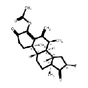 C=C1C2=C(OC(C)=O)C(=O)CC[C@]2(C)[C@H]2CC[C@]3(C)C(=O)[C@H](F)C[C@H]3[C@@H]2[C@@H]1C